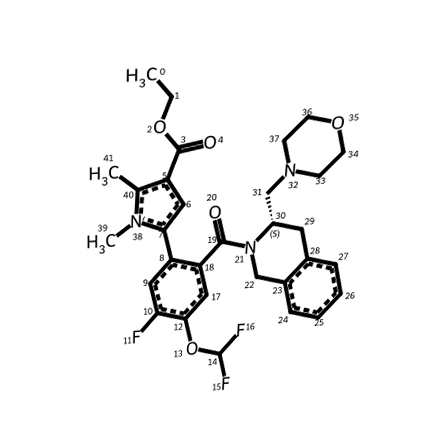 CCOC(=O)c1cc(-c2cc(F)c(OC(F)F)cc2C(=O)N2Cc3ccccc3C[C@H]2CN2CCOCC2)n(C)c1C